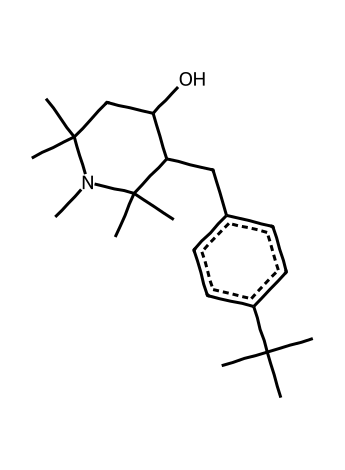 CN1C(C)(C)CC(O)C(Cc2ccc(C(C)(C)C)cc2)C1(C)C